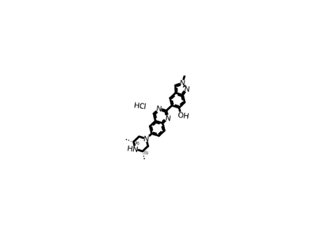 C[C@@H]1CN(c2ccc3nc(-c4cc5cn(C)nc5cc4O)ncc3c2)C[C@H](C)N1.Cl